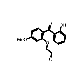 COc1ccc(C(=O)c2ccccc2O)c(OCCO)c1